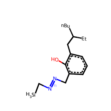 CCCCC(CC)Cc1cccc(C/N=N/C[SiH3])c1O